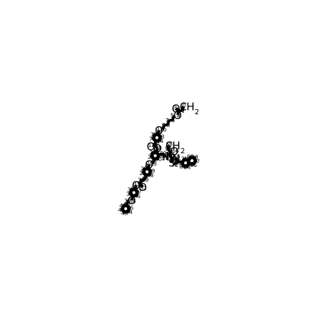 C=CC(=O)OCCCCCCOc1ccc(C(=O)Oc2ccc(COc3ccc(CCC(=O)Oc4ccc(OCc5ccccc5)cc4)cc3)cc2/C=N/N(C(=O)C=C)c2nc(-c3ccc4ccccc4c3)cs2)cc1